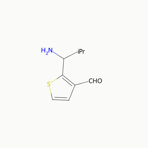 CC(C)C(N)c1sccc1C=O